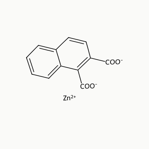 O=C([O-])c1ccc2ccccc2c1C(=O)[O-].[Zn+2]